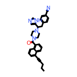 CCCC#Cc1cccc2c(C(=O)N3CCN(C(Cc4ccc(C#N)cc4)c4cnc[nH]4)CC3)cccc12